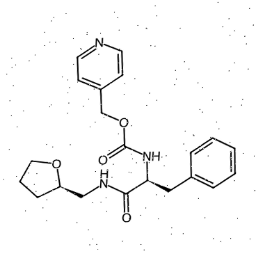 O=C(N[C@@H](Cc1ccccc1)C(=O)NC[C@H]1CCCO1)OCc1ccncc1